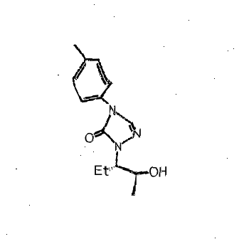 CC[C@@H]([C@H](C)O)n1ncn(-c2ccc(C)cc2)c1=O